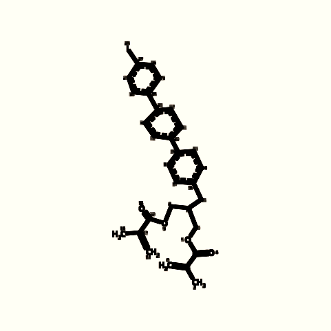 C=C(C)C(=O)OCC(COC(=O)C(=C)C)Cc1ccc(-c2ccc(-c3ccc(I)cc3)cc2)cc1